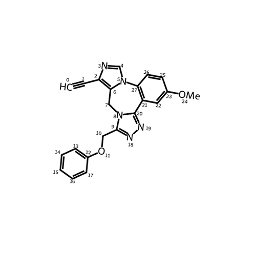 C#Cc1ncn2c1Cn1c(COc3ccccc3)nnc1-c1cc(OC)ccc1-2